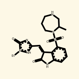 CCn1[nH]c(/C=C2\C(=O)Nc3cccc(S(=O)(=O)N4CCCNCC4C)c32)nc1=O